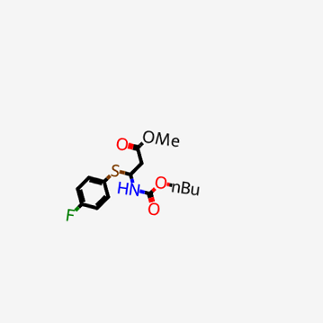 CCCCOC(=O)NC(CC(=O)OC)Sc1ccc(F)cc1